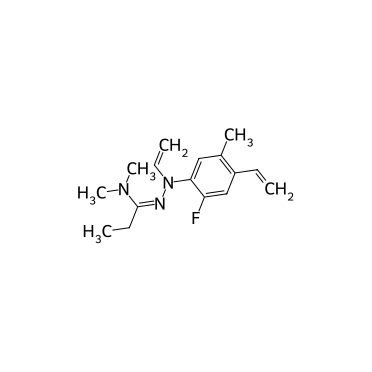 C=Cc1cc(F)c(N(C=C)/N=C(/CC)N(C)C)cc1C